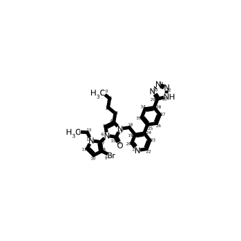 CCCCc1cn(-c2c(Br)ccn2CC)c(=O)n1Cc1cnccc1-c1ccc(-c2nnn[nH]2)cc1